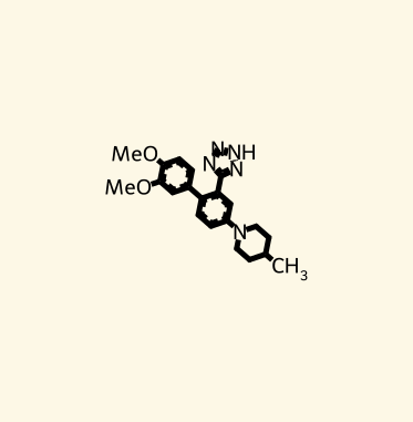 COc1ccc(-c2ccc(N3CCC(C)CC3)cc2-c2nn[nH]n2)cc1OC